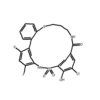 O=C1NCCCSc2ccccc2-c2cc(c(F)cc2F)NS(=O)(=O)c2cc1cc(Cl)c2O